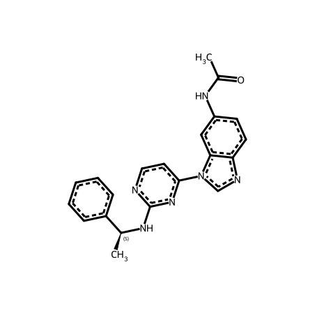 CC(=O)Nc1ccc2ncn(-c3ccnc(N[C@@H](C)c4ccccc4)n3)c2c1